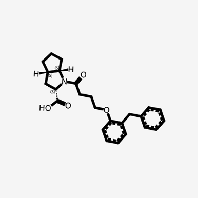 O=C(O)[C@@H]1C[C@@H]2CCC[C@@H]2N1C(=O)CCCOc1ccccc1Cc1ccccc1